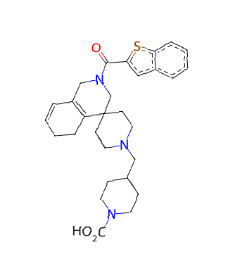 O=C(O)N1CCC(CN2CCC3(CC2)CN(C(=O)c2cc4ccccc4s2)CC2=C3CCC=C2)CC1